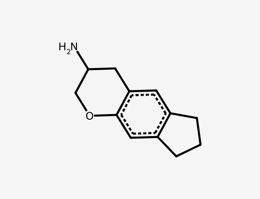 NC1COc2cc3c(cc2C1)CCC3